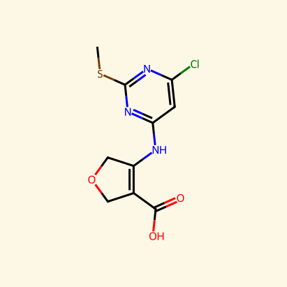 CSc1nc(Cl)cc(NC2=C(C(=O)O)COC2)n1